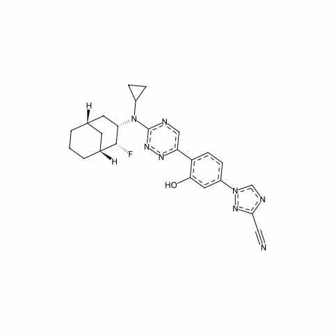 N#Cc1ncn(-c2ccc(-c3cnc(N(C4CC4)[C@H]4C[C@H]5CCC[C@H](C5)[C@H]4F)nn3)c(O)c2)n1